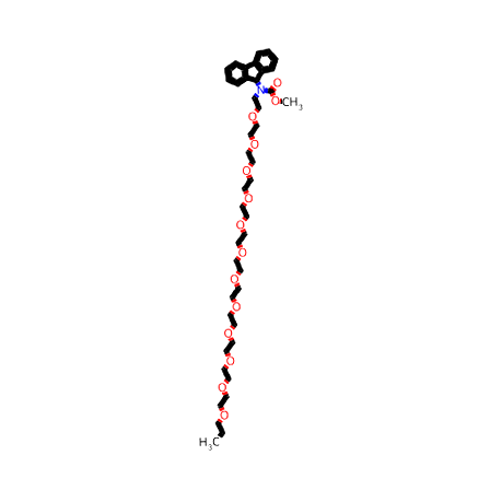 CCCOCCOCCOCCOCCOCCOCCOCCOCCOCCOCCOCCOCCN(C(=O)OC)C1c2ccccc2-c2ccccc21